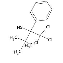 CC(C)(C)C(S)(c1ccccc1)C(Cl)(Cl)Cl